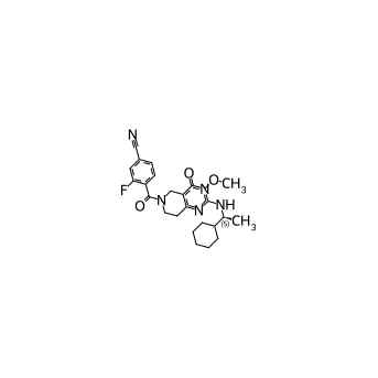 COn1c(N[C@@H](C)C2CCCCC2)nc2c(c1=O)CN(C(=O)c1ccc(C#N)cc1F)CC2